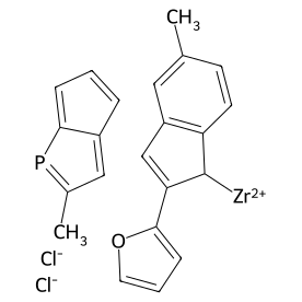 CC1=PC2=CC=CC2=C1.Cc1ccc2c(c1)C=C(c1ccco1)[CH]2[Zr+2].[Cl-].[Cl-]